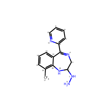 NNC1CN=C(c2ccccn2)c2cccc(C(F)(F)F)c2N1